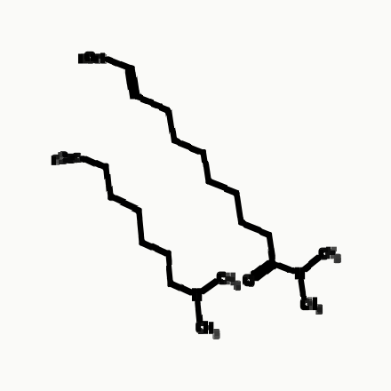 CCCCCCCCC=CCCCCCCCC(=O)N(C)C.CCCCCCCCCCCCCCCCN(C)C